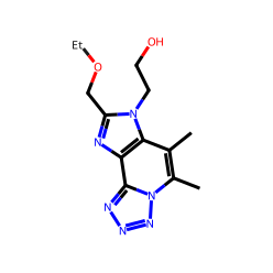 CCOCc1nc2c(c(C)c(C)n3nnnc23)n1CCO